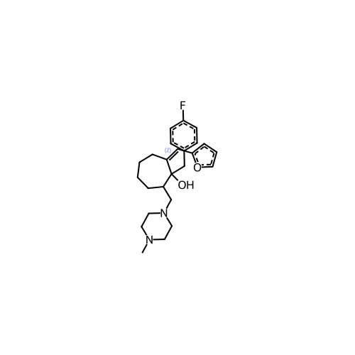 CN1CCN(CC2CCCC/C(=C/c3ccco3)C2(O)Cc2ccc(F)cc2)CC1